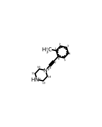 Cc1ccccc1C#CN1CCNCC1